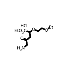 CCOCCOC(CC(=O)CN)C(=O)OCC.Cl